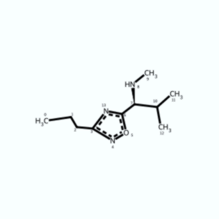 CCCc1noc([C@@H](NC)C(C)C)n1